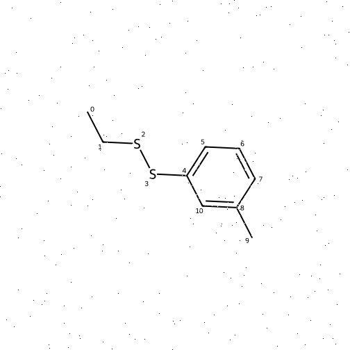 CCSSc1cccc(C)c1